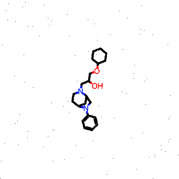 OC(COC1CCCCC1)CN1CCC2CC1CN2c1ccccc1